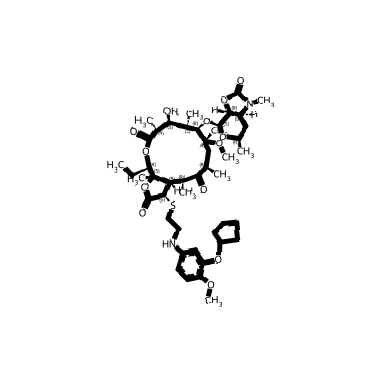 CC[C@H]1OC(=O)[C@H](C)[C@@H](O)[C@H](C)[C@@H](O[C@@H]2O[C@H](C)C[C@H]3[C@H]2OC(=O)N3C)[C@](C)(OC)C[C@@H](C)C(=O)[C@H](C)[C@H]2[C@H](SCCNc3ccc(OC)c(OC4CCCC4)c3)C(=O)O[C@@]21C